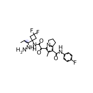 C/C=C(\NN)C1(NC(=O)C(=O)c2c(C)c(C(=O)Nc3ccc(F)cc3)c3n2CCC3)CC(F)(F)C1